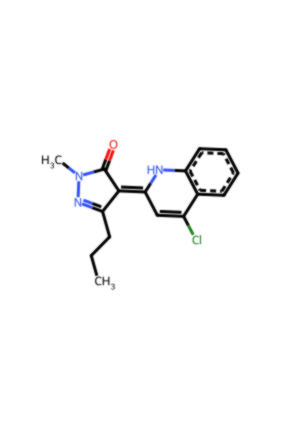 CCCC1=NN(C)C(=O)/C1=C1/C=C(Cl)c2ccccc2N1